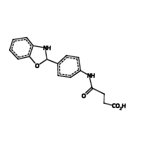 O=C(O)CCC(=O)Nc1ccc(C2Nc3ccccc3O2)cc1